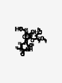 COCC(COC)O[C@H]1C(O)[C@@H](CO)O[C@H]1n1cc(C)c(=O)[nH]c1=O